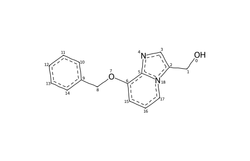 OCc1cnc2c(OCc3ccccc3)cccn12